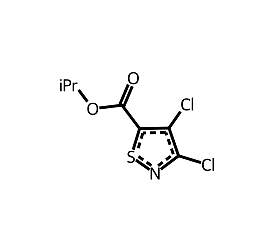 CC(C)OC(=O)c1snc(Cl)c1Cl